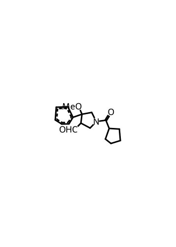 COC1(c2ccccc2)CN(C(=O)C2CCCC2)CC1C=O